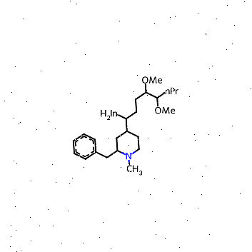 CCCC(OC)C(CC[CH]([InH2])C1CCN(C)C(Cc2ccccc2)C1)OC